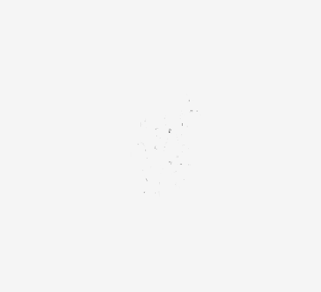 CCCCCCCC(=O)O[C@@]12CC(C)C34C=C(C)[C@H](O)[C@@]3(O)[C@H](O)C(COC(=O)C(C)(C)C)=C[C@H](C4=O)[C@@H]1C2(C)C